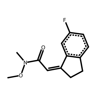 CON(C)C(=O)/C=C1/CCc2ccc(F)cc21